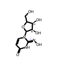 O=c1ccn(C2OC(CO)[C@@H](O)[C@H]2O)/c(=N/O)[nH]1